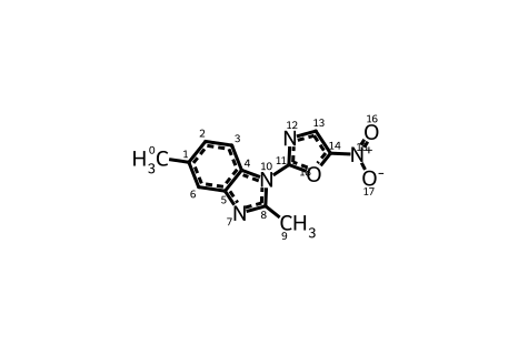 Cc1ccc2c(c1)nc(C)n2-c1ncc([N+](=O)[O-])o1